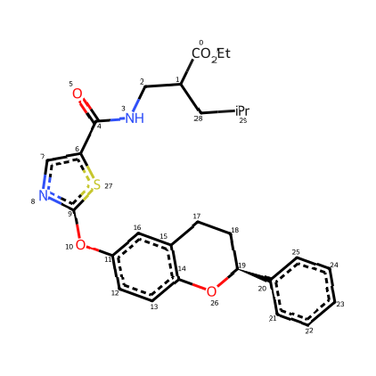 CCOC(=O)C(CNC(=O)c1cnc(Oc2ccc3c(c2)CC[C@@H](c2ccccc2)O3)s1)CC(C)C